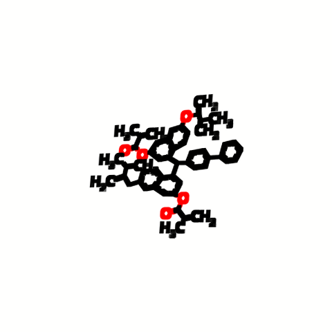 C=C(C)C(=C)Cc1ccc2c(C(c3ccc(-c4ccccc4)cc3)c3cc(OC(=O)C(=C)C)cc4cc(OC(=C)C(=C)C)ccc34)cc(OC(=O)C(=C)C)cc2c1